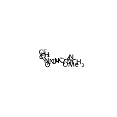 COc1cc(N2CCN(C(=O)NCc3ccc(C(F)(F)F)o3)CC2)ccc1-c1cnc(C)o1